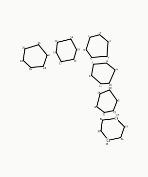 C1CCCCC1.C1CCCCC1.C1CCCCC1.C1CCCCC1.C1CCCCC1.C1COCCO1